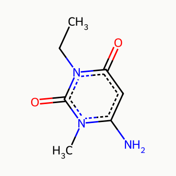 CCn1c(=O)cc(N)n(C)c1=O